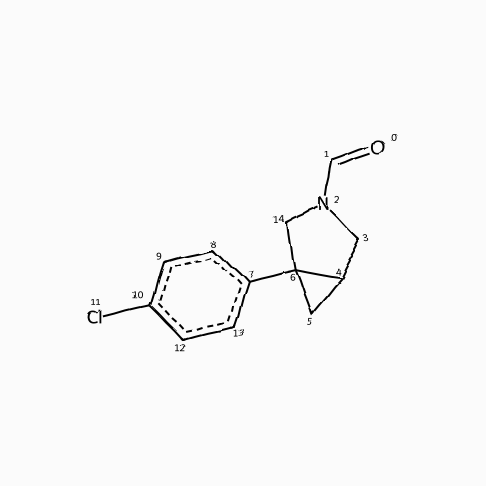 O=CN1CC2CC2(c2ccc(Cl)cc2)C1